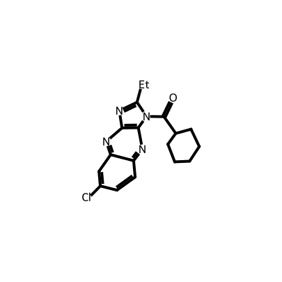 CCc1nc2nc3cc(Cl)ccc3nc2n1C(=O)C1CCCCC1